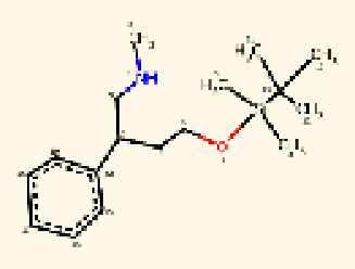 CNCC(CCO[Si](C)(C)C(C)(C)C)c1ccccc1